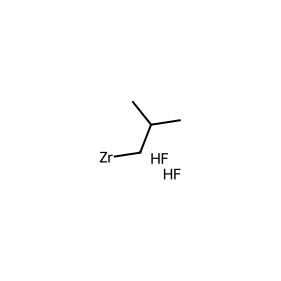 CC(C)[CH2][Zr].F.F